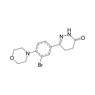 O=C1CCC(c2ccc(N3CCOCC3)c(Br)c2)=NN1